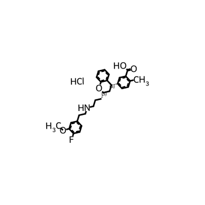 COc1cc(CCNCCC[C@H]2C[C@@H](c3ccc(C)c(C(=O)O)c3)c3ccccc3O2)ccc1F.Cl